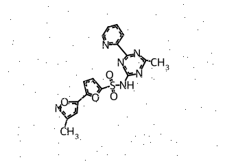 Cc1cc(-c2ccc(S(=O)(=O)Nc3nc(C)nc(-c4ccccn4)n3)o2)on1